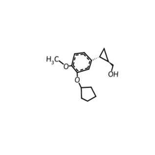 COc1ccc([C@@H]2C[C@H]2CO)cc1OC1CCCC1